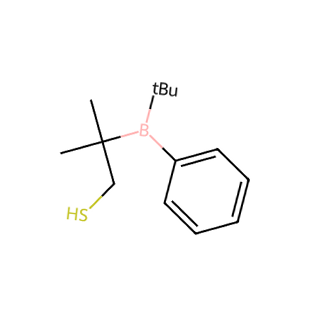 CC(C)(C)B(c1ccccc1)C(C)(C)CS